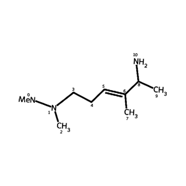 CNN(C)CC/C=C(\C)C(C)N